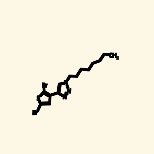 CCCCCCCCn1cc(-c2cc(Br)sc2Br)nn1